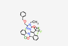 C=C(c1c(-n2nc(COCc3ccccc3)n(CC)c2=O)n(-c2c(F)cccc2Cl)c(=O)c2ccccc12)C(F)(F)F